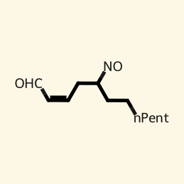 CCCCCCCC(C/C=C\C=O)N=O